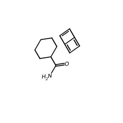 NC(=O)C1CCCCC1.c1cc2ccc1-2